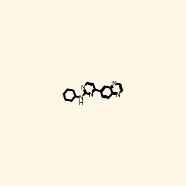 c1cc(-c2ccc3nccnc3c2)nc(NC2CCCCC2)n1